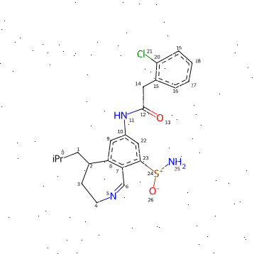 CC(C)CC1CCN=Cc2c1cc(NC(=O)Cc1ccccc1Cl)cc2[S+](N)[O-]